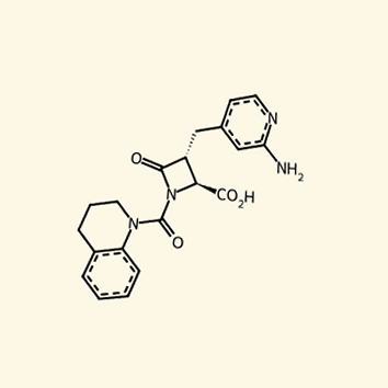 Nc1cc(C[C@H]2C(=O)N(C(=O)N3CCCc4ccccc43)[C@@H]2C(=O)O)ccn1